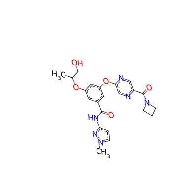 CC(CO)Oc1cc(Oc2cnc(C(=O)N3CCC3)cn2)cc(C(=O)Nc2ccn(C)n2)c1